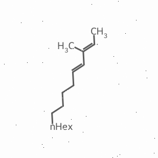 C/[C]=C(\C)C=CCCCCCCCCCC